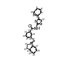 O=C(Nc1nc(-c2ccccn2)cs1)c1cccc(SN2CCc3ccccc32)c1